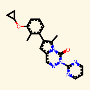 Cc1c(OC2CC2)cccc1-c1cc2cnn(-c3ncccn3)c(=O)n2c1C